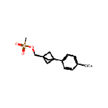 COc1ccc(C23CC(COS(C)(=O)=O)(C2)C3)cc1